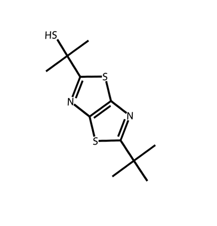 CC(C)(C)c1nc2sc(C(C)(C)S)nc2s1